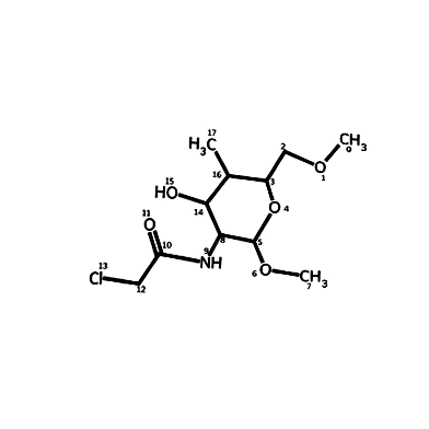 COCC1OC(OC)C(NC(=O)CCl)C(O)C1C